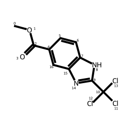 COC(=O)c1ccc2[nH]c(C(Cl)(Cl)Cl)nc2c1